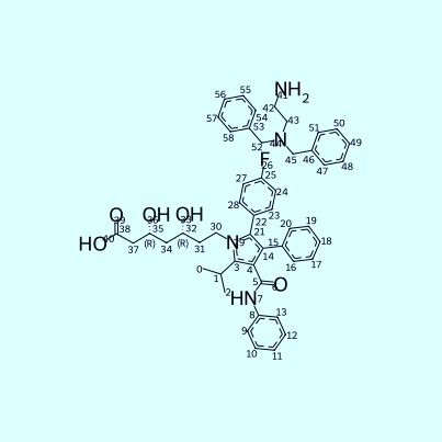 CC(C)c1c(C(=O)Nc2ccccc2)c(-c2ccccc2)c(-c2ccc(F)cc2)n1CC[C@@H](O)C[C@@H](O)CC(=O)O.NCCN(Cc1ccccc1)Cc1ccccc1